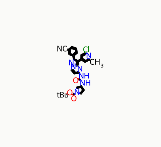 Cc1cc(-c2c(-c3cccc(C#N)c3)nn3ccc(NC(=O)N[C@@H]4CCN(C(=O)OC(C)(C)C)C4)nc23)cc(Cl)n1